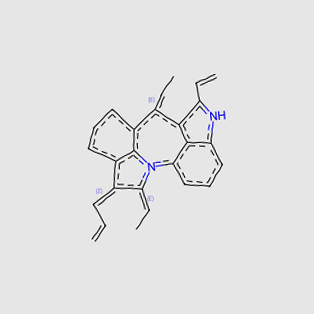 C=C/C=c1\c(=C/C)n2c3cccc4[nH]c(C=C)c(/c(=C\C)c5cccc1c52)c43